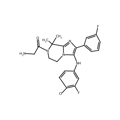 CC1(C)c2nc(-c3cccc(F)c3)c(Nc3ccc(Cl)c(F)c3)n2CCN1C(=O)CN